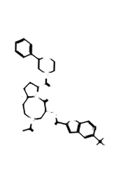 CC(=O)N1CC[C@H]2CC[C@@H](C(=O)N3CCOC(c4ccccc4)C3)N2C(=O)[C@@H](NC(=O)c2cc3cc(C(F)(F)P(=O)(O)O)ccc3s2)C1